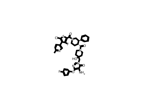 Cc1ccc(-c2c(Cl)sc(C(=O)N3CC[C@@H](C(=O)N4CCC(O)(Cn5cnc(Oc6ccc(F)cc6)c(N)c5=O)CC4)[C@H](c4ccccc4)C3)c2F)cn1